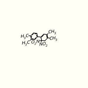 CC1=C(C)CC([N+](=O)[O-])([N+](=O)[O-])C(c2ccc(C)c(C)c2)=C1